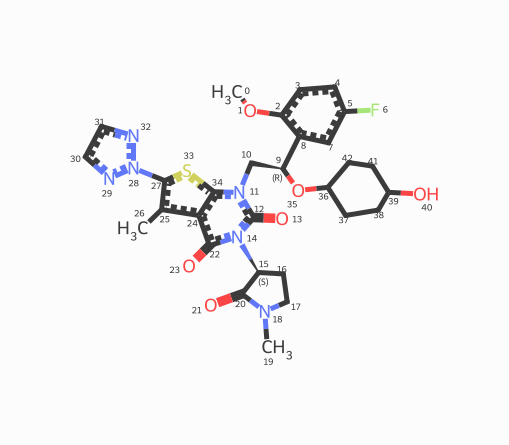 COc1ccc(F)cc1[C@H](Cn1c(=O)n([C@H]2CCN(C)C2=O)c(=O)c2c(C)c(-n3nccn3)sc21)OC1CCC(O)CC1